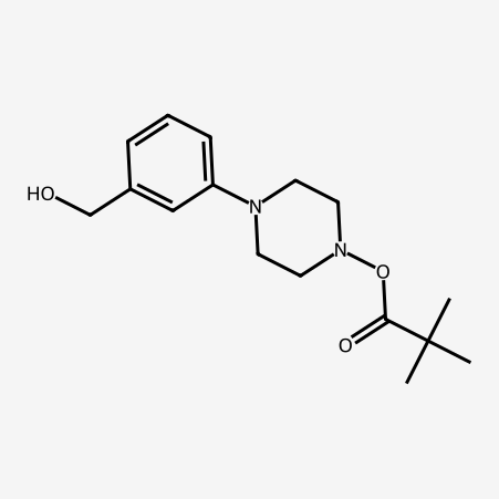 CC(C)(C)C(=O)ON1CCN(c2cccc(CO)c2)CC1